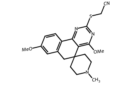 COc1ccc2c(c1)CC1(CCN(C)CC1)c1c(OC)nc(SCC#N)nc1-2